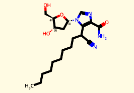 CCCCCCCCCC(C#N)c1c(C(N)=O)ncn1[C@@H]1C[C@H](O)[C@@H](CO)O1